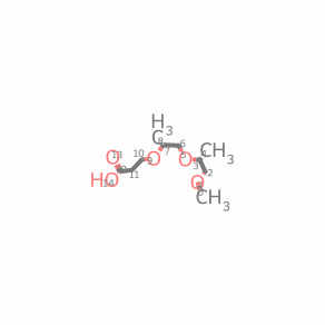 COCC(C)OCC(C)OCCC(=O)O